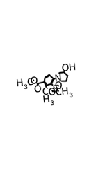 COC(=O)c1ccc(N2CCCC(O)C2)c(S(C)(=O)=O)c1C